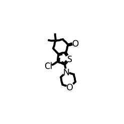 CC1(C)CC(=O)c2sc(N3CCOCC3)c(Cl)c2C1